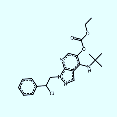 CCOC(=O)Oc1cnc2c(cnn2CC(Cl)c2ccccc2)c1NC(C)(C)C